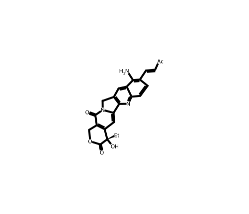 CC[C@@]1(O)C(=O)OCc2c1cc1n(c2=O)Cc2cc3c(N)c(C=CC(C)=O)ccc3nc2-1